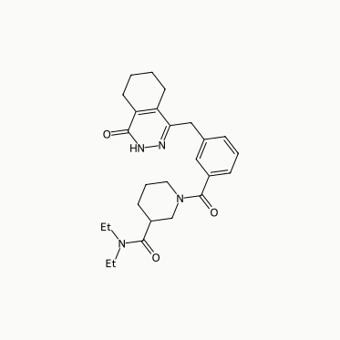 CCN(CC)C(=O)C1CCCN(C(=O)c2cccc(Cc3n[nH]c(=O)c4c3CCCC4)c2)C1